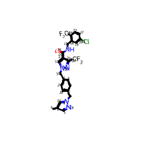 Cc1cnn(Cc2ccc(Cn3cc(C(=O)NCc4cc(Cl)ccc4C(F)(F)F)c(C(F)(F)F)n3)cc2)c1